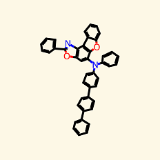 c1ccc(-c2ccc(-c3ccc(N(c4ccccc4)c4cc5oc(-c6ccccc6)nc5c5c4oc4ccccc45)cc3)cc2)cc1